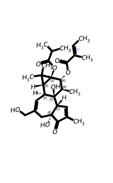 C/C=C(\C)C(=O)O[C@@H]1[C@@H](C)[C@@]2(O)[C@@H](C=C(CO)C[C@]3(O)C(=O)C(C)=C[C@@H]23)[C@@H]2C(C)(C)[C@]12OC(=O)C(C)C